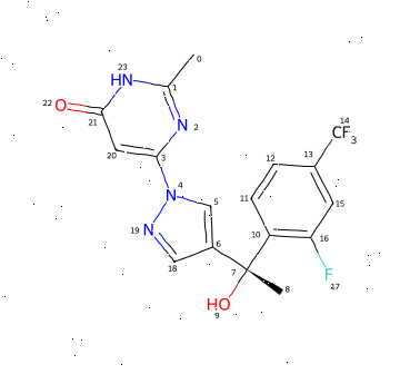 Cc1nc(-n2cc([C@@](C)(O)c3ccc(C(F)(F)F)cc3F)cn2)cc(=O)[nH]1